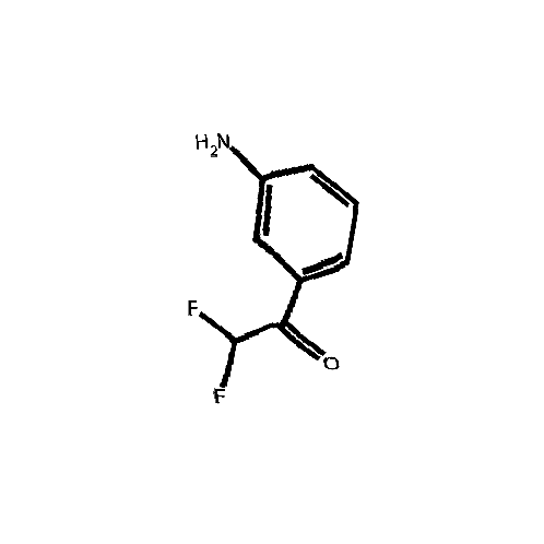 Nc1cccc(C(=O)C(F)F)c1